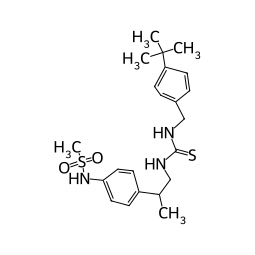 CC(CNC(=S)NCc1ccc(C(C)(C)C)cc1)c1ccc(NS(C)(=O)=O)cc1